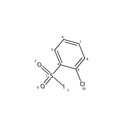 O=S(=O)(I)c1ccccc1Cl